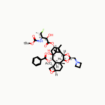 CC(=O)O[C@@]12CO[C@@H]1CC[C@@]1(C)[C@@H]3O[C@H](CN4CCC4)O[C@@H]3C3=C(C)[C@@H](OC(=O)[C@H](O)[C@@H](NC(=O)OC(C)(C)C)[C@H](C)F)C[C@@](O)([C@@H](OC(=O)c4ccccc4)[C@@H]12)C3(C)C